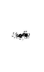 CN(CC(F)(F)F)C(=O)c1ccc(/C(F)=C/C(c2cc(Cl)c(Cl)c(Cl)c2)C(F)(F)F)cc1C(F)(F)F